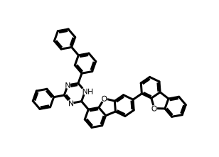 c1ccc(C2=NC(c3cccc4c3oc3cc(-c5cccc6c5oc5ccccc56)ccc34)NC(c3cccc(-c4ccccc4)c3)=N2)cc1